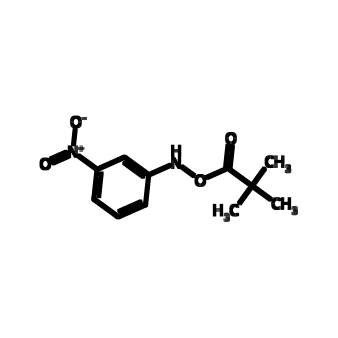 CC(C)(C)C(=O)ONc1cccc([N+](=O)[O-])c1